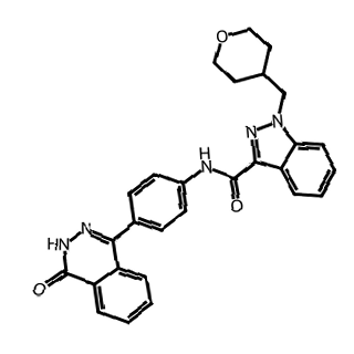 O=C(Nc1ccc(-c2n[nH]c(=O)c3ccccc23)cc1)c1nn(CC2CCOCC2)c2ccccc12